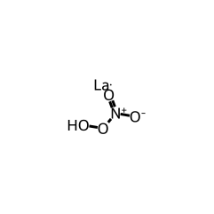 O=[N+]([O-])OO.[La]